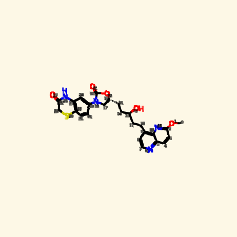 COc1ccc2nccc(CC[C@H](O)CC[C@@H]3CN(c4ccc5c(c4)NC(=O)CS5)C(=O)O3)c2n1